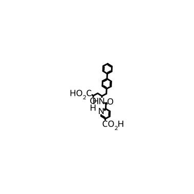 O=C(O)c1ccc(C(=O)NC(Cc2ccc(-c3ccccc3)cc2)CC(O)C(=O)O)nc1